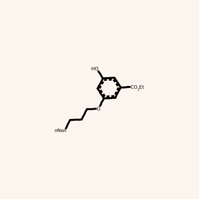 CCCCCCCCCCCCOc1cc(O)cc(C(=O)OCC)c1